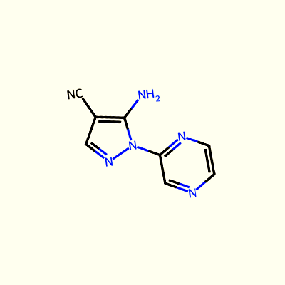 N#Cc1cnn(-c2cnccn2)c1N